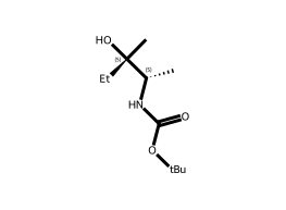 CC[C@](C)(O)[C@H](C)NC(=O)OC(C)(C)C